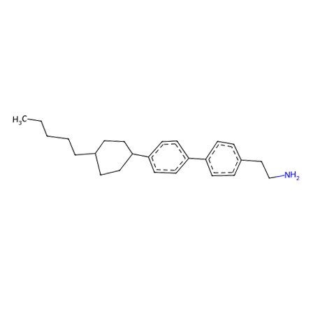 CCCCCC1CCC(c2ccc(-c3ccc(CCN)cc3)cc2)CC1